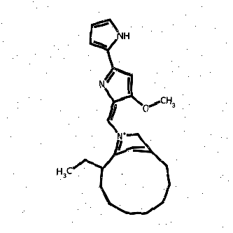 CCC1CCCCCCCC2=CC1=[N+](C=C1N=C(c3ccc[nH]3)C=C1OC)C2